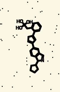 OC(O)(O)Cc1ccccc1C1=CC(c2ccc3c(c2)C=NC3C2CCCC2)=CC1